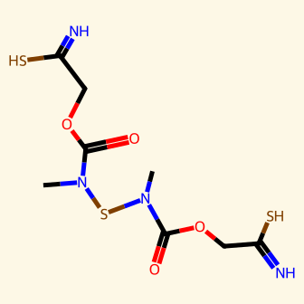 CN(SN(C)C(=O)OCC(=N)S)C(=O)OCC(=N)S